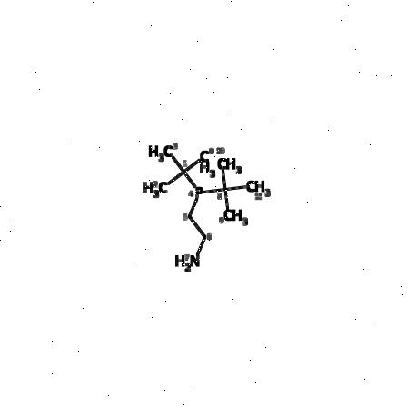 CC(C)(C)P(CCN)C(C)(C)C